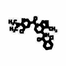 CN(C)c1ncc(C(=O)N2CCC(NC(=O)c3ccccc3Cl)c3c2cnn3C)cc1Cl